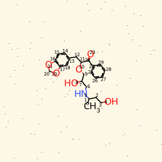 CC(CCO)NCC(O)COC(Cc1ccc2c(c1)OCO2)C(=O)c1ccccc1